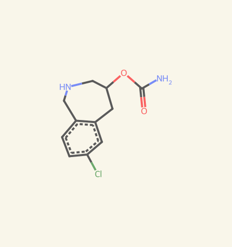 NC(=O)OC1CNCc2ccc(Cl)cc2C1